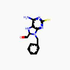 Nc1nc(S)nc2c1NC(C=O)N2Cc1ccccc1